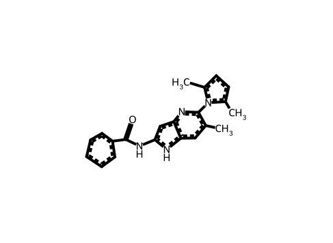 Cc1cc2[nH]c(NC(=O)c3ccccc3)cc2nc1-n1c(C)ccc1C